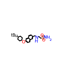 CC(C)(C)[C@H]1CC[C@H](Oc2ccc3cc(CNCCS(N)(=O)=O)ccc3c2)CC1